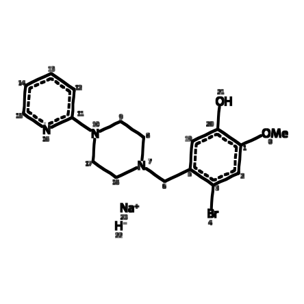 COc1cc(Br)c(CN2CCN(c3ccccn3)CC2)cc1O.[H-].[Na+]